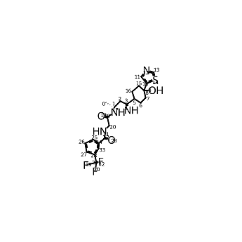 C[C@H](CC(=N)C1CCC(O)(c2cncs2)CC1)NC(=O)CNC(=O)c1cccc(C(F)(F)F)c1